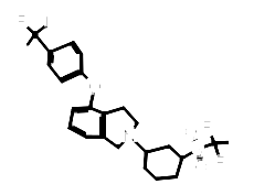 O=S(=O)(C1CCCC(N2CCc3c(cccc3Oc3ccc(C(F)(F)F)cc3)C2)C1)C(F)(F)F